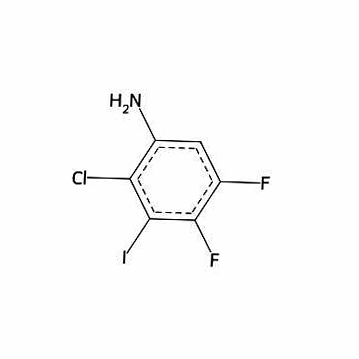 Nc1cc(F)c(F)c(I)c1Cl